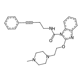 CN1CCN(CCOc2nc3ccccc3n2C(=O)NCCC#Cc2ccccc2)CC1